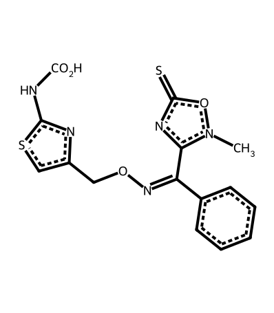 Cn1oc(=S)nc1C(=NOCc1csc(NC(=O)O)n1)c1ccccc1